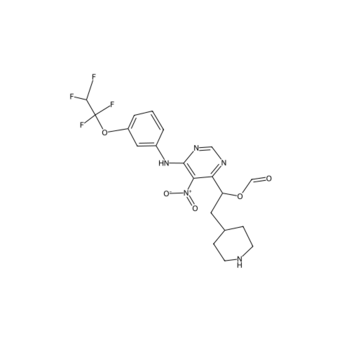 O=COC(CC1CCNCC1)c1ncnc(Nc2cccc(OC(F)(F)C(F)F)c2)c1[N+](=O)[O-]